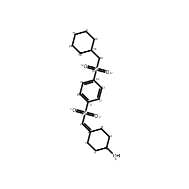 O=S(=O)(C=C1CCC(O)CC1)c1ccc(S(=O)(=O)CC2CCCCC2)cc1